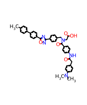 Cc1ccc(-c2ccc(-c3nc(-c4ccc(CN(CC(=O)O)C(=O)c5ccc(NC(=O)Cc6ccc(N(C)C)cc6)cc5)cc4)no3)cc2)cc1